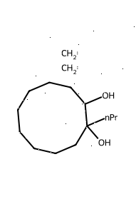 CCCC1(O)CCCCCCCC[C]1O.[CH2].[CH2]